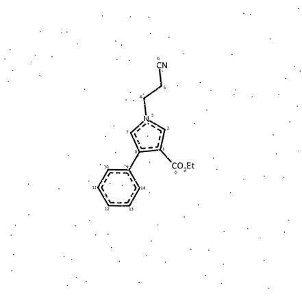 CCOC(=O)c1cn(CCC#N)cc1-c1ccccc1